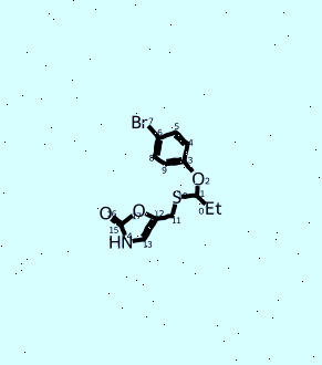 CCC(Oc1ccc(Br)cc1)SCc1c[nH]c(=O)o1